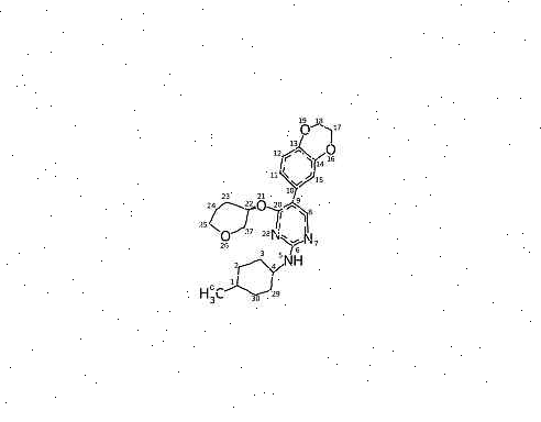 CC1CCC(Nc2ncc(-c3ccc4c(c3)OCCO4)c(O[C@@H]3CCCOC3)n2)CC1